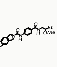 CCC(CNC(=O)c1ccc(NC(=O)N2Cc3ccc(F)cc3C2)cc1)OC